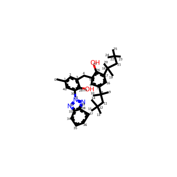 Cc1cc(Cc2cc(C(C)(C)CC(C)(C)C)cc(C(C)(C)CC(C)(C)C)c2O)c(O)c(-n2nc3ccccc3n2)c1